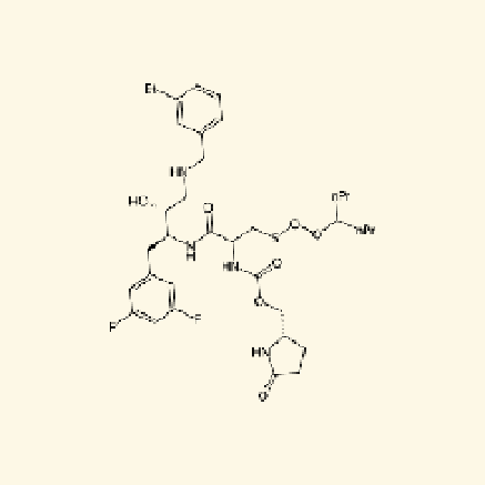 CCCC(CCC)OOSCC(NC(=O)OC[C@@H]1CCC(=O)N1)C(=O)N[C@@H](Cc1cc(F)cc(F)c1)[C@H](O)CNCc1cccc(CC)c1